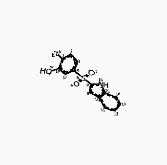 CCc1ccc(S(=O)(=O)c2cc3ccccc3[nH]2)cc1O